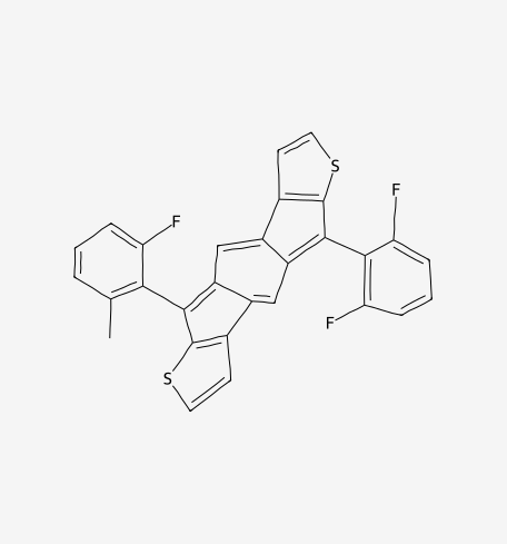 Cc1cccc(F)c1C1=c2cc3c(cc2-c2ccsc21)=C(c1c(F)cccc1F)c1sccc1-3